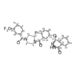 Cc1ccc(C(=O)N2CCN(C(=O)c3cc(Oc4n[nH]c(=O)c5ccccc45)ccc3F)CC2)cc1C(F)(F)F